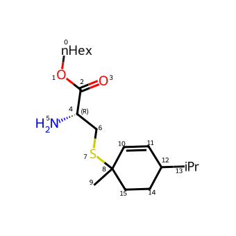 CCCCCCOC(=O)[C@@H](N)CSC1(C)C=CC(C(C)C)CC1